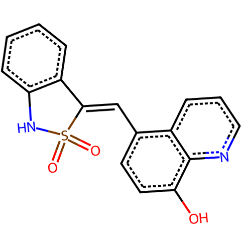 O=S1(=O)Nc2ccccc2C1=Cc1ccc(O)c2ncccc12